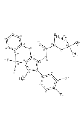 Cc1c(-c2ccc(F)c(Cl)c2)c(OC(=O)N(C)CC(C)(C)O)n(Cc2ccccc2)c1C(F)(F)F